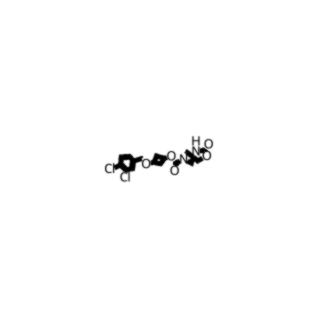 O=C1NC2(CO1)CN(C(=O)OC1CC(OCc3ccc(Cl)c(Cl)c3)C1)C2